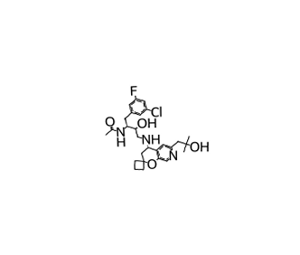 CC(=O)N[C@@H](Cc1cc(F)cc(Cl)c1)[C@@H](O)CN[C@H]1CC2(CCC2)Oc2cnc(CC(C)(C)O)cc21